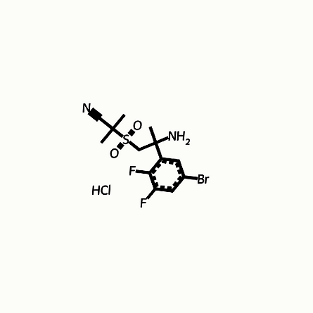 CC(N)(CS(=O)(=O)C(C)(C)C#N)c1cc(Br)cc(F)c1F.Cl